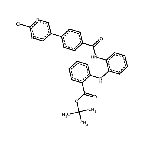 CC(C)(C)OC(=O)c1ccccc1Nc1ccccc1NC(=O)c1ccc(-c2cnc(Cl)nc2)cc1